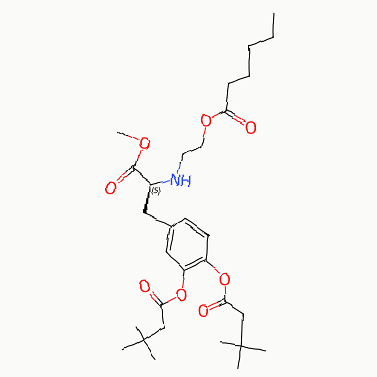 CCCCCC(=O)OCCN[C@@H](Cc1ccc(OC(=O)CC(C)(C)C)c(OC(=O)CC(C)(C)C)c1)C(=O)OC